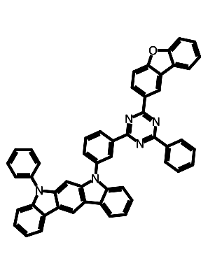 c1ccc(-c2nc(-c3cccc(-n4c5ccccc5c5cc6c7ccccc7n(-c7ccccc7)c6cc54)c3)nc(-c3ccc4oc5ccccc5c4c3)n2)cc1